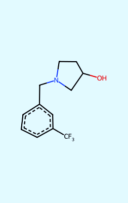 OC1CCN(Cc2cccc(C(F)(F)F)c2)C1